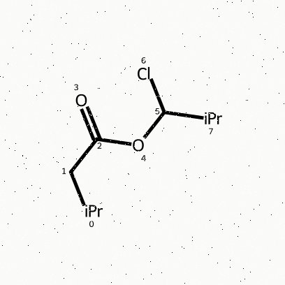 CC(C)CC(=O)OC(Cl)C(C)C